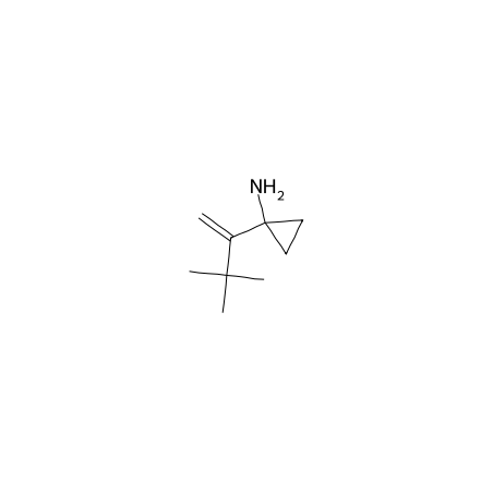 C=C(C(C)(C)C)C1(N)CC1